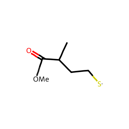 COC(=O)C(C)CC[S]